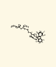 CC(C)(C)OC(=O)C[C@H](O)CCCCCO[Si](c1ccccc1)(c1ccccc1)C(C)(C)C